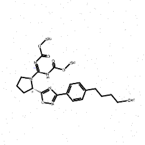 CCCCCCCCCCCCCCc1ccc(-c2noc([C@@H]3CCCN3/C(=N/C(=O)OC(C)(C)C)NC(=O)OC(C)(C)C)n2)cc1